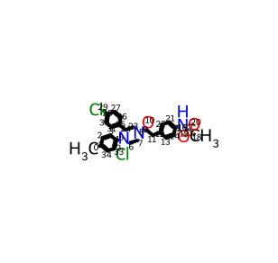 Cc1ccc(N2CCN(C(=O)Cc3ccc(NS(C)(=O)=O)cc3)CC2c2ccc(Cl)cc2)c(Cl)c1